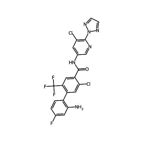 Nc1cc(F)ccc1-c1cc(Cl)c(C(=O)Nc2cnc(-n3nccn3)c(Cl)c2)cc1C(F)(F)F